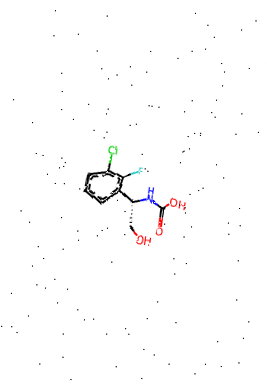 O=C(O)N[C@H](CO)c1cccc(Cl)c1F